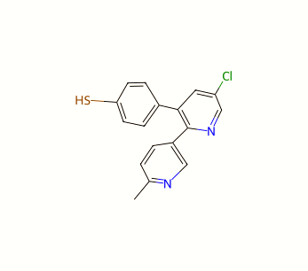 Cc1ccc(-c2ncc(Cl)cc2-c2ccc(S)cc2)cn1